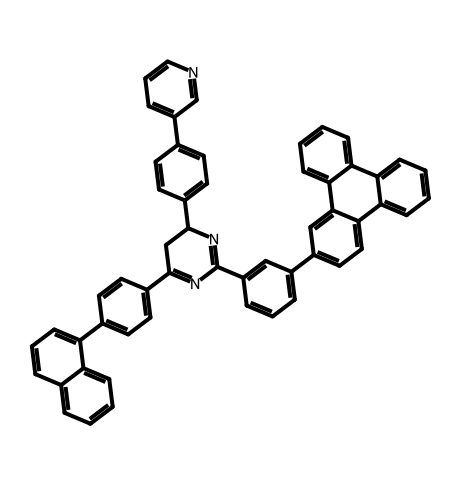 c1cncc(-c2ccc(C3CC(c4ccc(-c5cccc6ccccc56)cc4)=NC(c4cccc(-c5ccc6c7ccccc7c7ccccc7c6c5)c4)=N3)cc2)c1